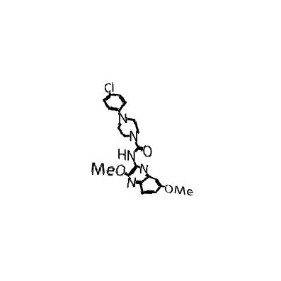 COc1ccc2nc(OC)c(NC(=O)N3CCN(c4ccc(Cl)cc4)CC3)nc2c1